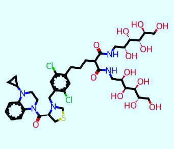 O=C(NC[C@@H](O)[C@H](O)[C@@H](O)[C@@H](O)CO)C(CCCc1cc(Cl)c(CN2CSC[C@H]2C(=O)N2CCN(C3CC3)c3ccccc32)cc1Cl)C(=O)NC[C@@H](O)[C@H](O)[C@@H](O)[C@@H](O)CO